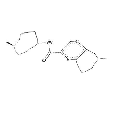 CC1CCc2nc(C(=O)N[C@H]3CC[C@H](C)CC3)cnc2C1